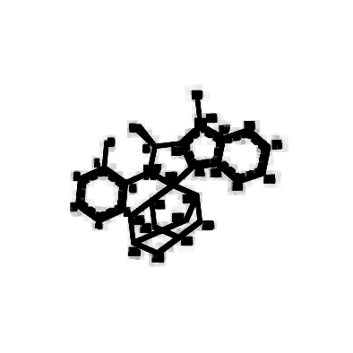 Cc1ccccc1N1[C@@H](C)c2c(c3ccccc3n2C)C12C1CC3CC(C1)CC2C3